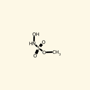 COS(=O)(=O)NO